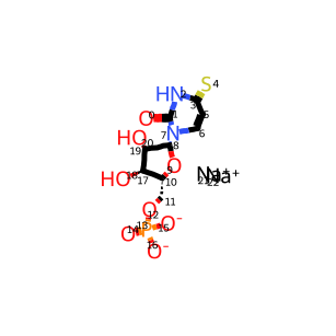 O=c1[nH]c(=S)ccn1[C@@H]1O[C@H](COP(=O)([O-])[O-])[C@@H](O)[C@H]1O.[Na+].[Na+]